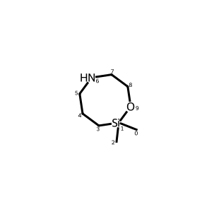 C[Si]1(C)CCCNCCO1